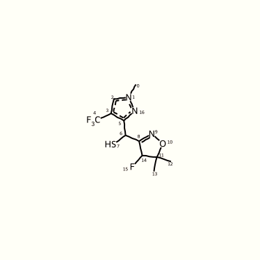 Cn1cc(C(F)(F)F)c(C(S)C2=NOC(C)(C)C2F)n1